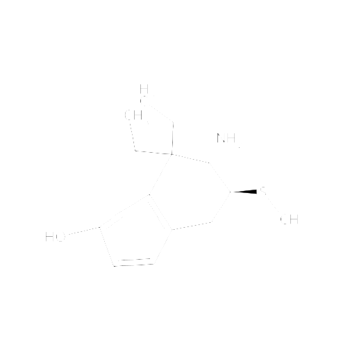 CCC1(CC)c2cc(O)ccc2C[C@H](SC)[C@H]1N